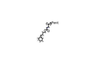 CCCCCOC(=O)/C=C/C(=O)OCCCCN1CCCCC1